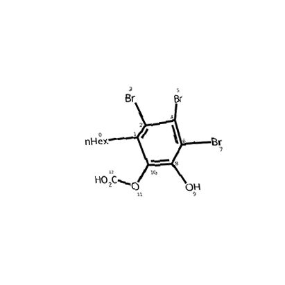 CCCCCCc1c(Br)c(Br)c(Br)c(O)c1OC(=O)O